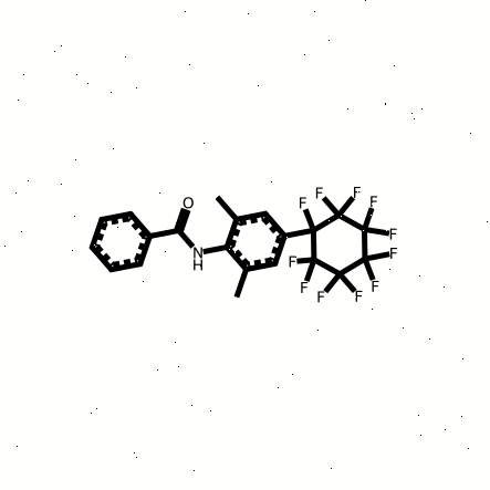 Cc1cc(C2(F)C(F)(F)C(F)(F)C(F)(F)C(F)(F)C2(F)F)cc(C)c1NC(=O)c1ccccc1